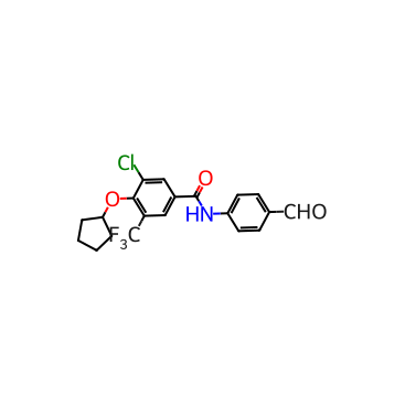 O=Cc1ccc(NC(=O)c2cc(Cl)c(OC3CCCC3)c(C(F)(F)F)c2)cc1